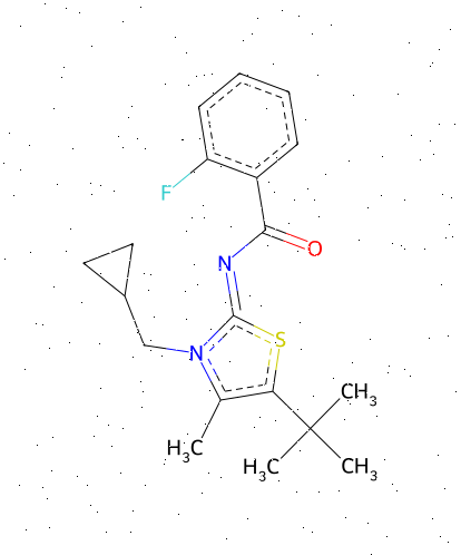 Cc1c(C(C)(C)C)s/c(=N\C(=O)c2ccccc2F)n1CC1CC1